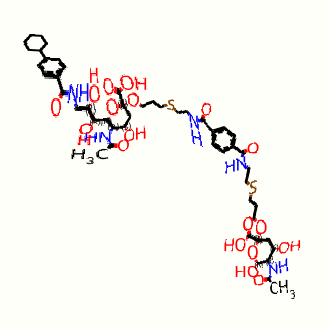 CC(=O)N[C@H]1[C@H]([C@H](O)[C@H](O)CNC(=O)c2ccc(C3CCCCC3)cc2)O[C@@](OCCCSCCNC(=O)c2ccc(C(=O)NCCSCCCO[C@]3(C(=O)O)C[C@H](O)[C@@H](NC(C)=O)[C@H](O)O3)cc2)(C(=O)O)C[C@@H]1O